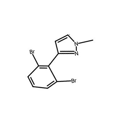 Cn1[c]cc(-c2c(Br)cccc2Br)n1